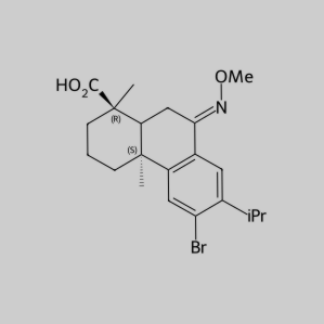 CON=C1CC2[C@](C)(C(=O)O)CCC[C@]2(C)c2cc(Br)c(C(C)C)cc21